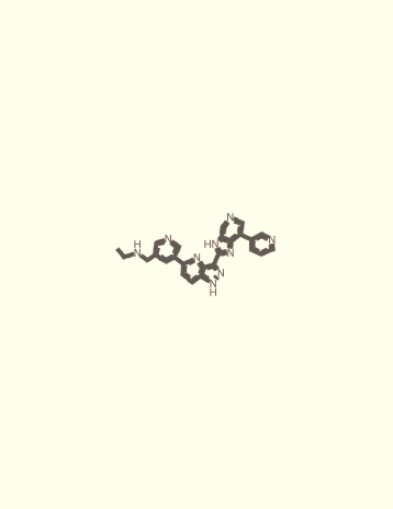 CCNCc1cncc(-c2ccc3[nH]nc(-c4nc5c(-c6cccnc6)cncc5[nH]4)c3n2)c1